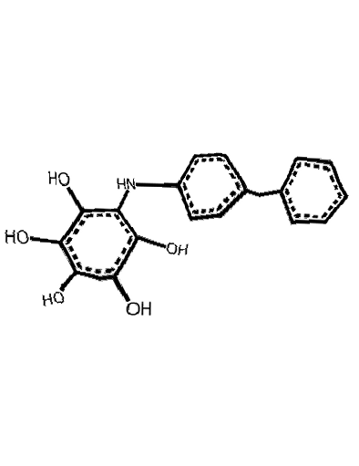 Oc1c(O)c(O)c(Nc2ccc(-c3ccccc3)cc2)c(O)c1O